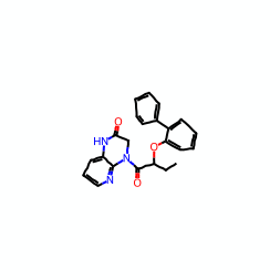 CCC(Oc1ccccc1-c1ccccc1)C(=O)N1CC(=O)Nc2cccnc21